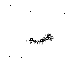 COC(=O)Nc1ccc(S(=O)(=O)c2ccc(CCNC[C@H](O)c3cccc(Cl)c3)cc2)cc1C(=O)O.Cl